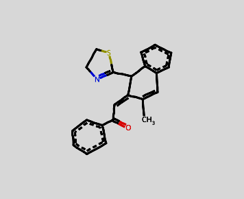 CC1=Cc2ccccc2C(C2=NCCS2)C1=CC(=O)c1ccccc1